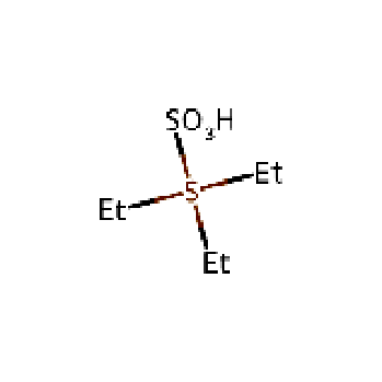 CCS(CC)(CC)S(=O)(=O)O